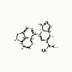 NC(=O)c1cc(-c2ccc3c4c(cccc24)CC3)n2nnnc2c1